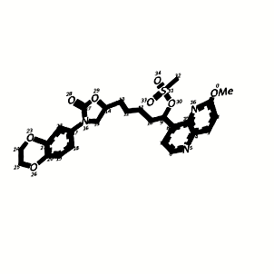 COc1ccc2nccc(C(CCCCC3CN(c4ccc5c(c4)OCCO5)C(=O)O3)OS(C)(=O)=O)c2n1